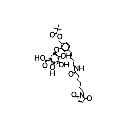 CC(C)(C)C(=O)OCc1ccc(CCCCNC(=O)CCCCCN2C(=O)C=CC2=O)cc1O[C@@H]1C[C@H](C(=O)O)[C@@H](O)[C@H](O)[C@H]1O